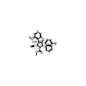 COC(=O)[C@@H]1[C@@H](c2ccccc2)[C@]2(c3ccc(Br)cc3)Oc3cncc(OC)c3[C@]2(O)[C@H]1C#N